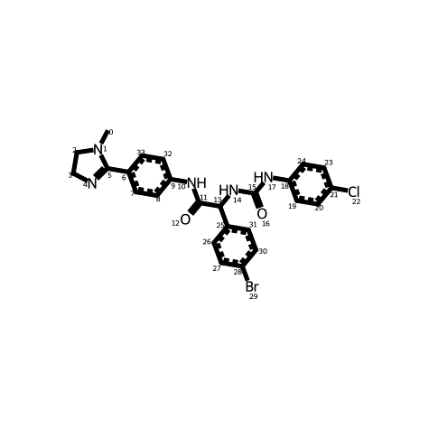 CN1CCN=C1c1ccc(NC(=O)C(NC(=O)Nc2ccc(Cl)cc2)c2ccc(Br)cc2)cc1